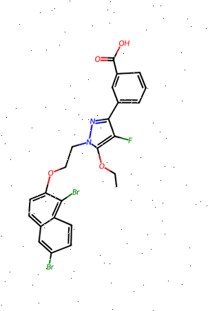 CCOc1c(F)c(-c2cccc(C(=O)O)c2)nn1CCOc1ccc2cc(Br)ccc2c1Br